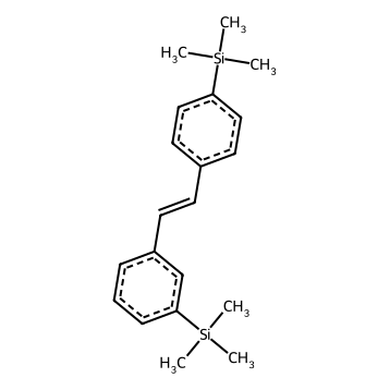 C[Si](C)(C)c1ccc(C=Cc2cccc([Si](C)(C)C)c2)cc1